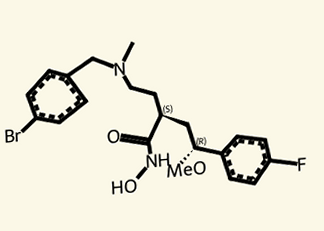 CO[C@H](C[C@H](CCN(C)Cc1ccc(Br)cc1)C(=O)NO)c1ccc(F)cc1